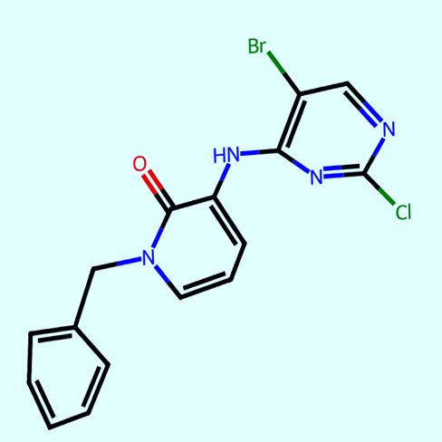 O=c1c(Nc2nc(Cl)ncc2Br)cccn1Cc1ccccc1